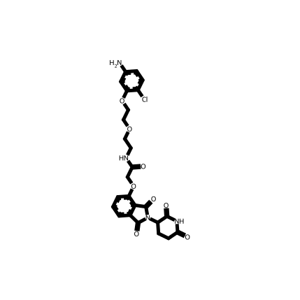 Nc1ccc(Cl)c(OCCOCCNC(=O)COc2cccc3c2C(=O)N(C2CCC(=O)NC2=O)C3=O)c1